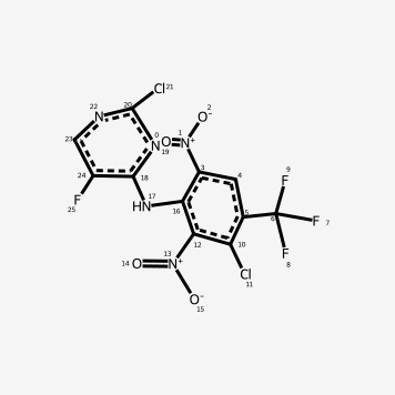 O=[N+]([O-])c1cc(C(F)(F)F)c(Cl)c([N+](=O)[O-])c1Nc1nc(Cl)ncc1F